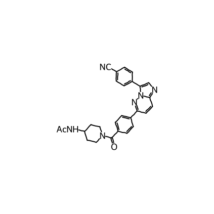 CC(=O)NC1CCN(C(=O)c2ccc(-c3ccc4ncc(-c5ccc(C#N)cc5)n4n3)cc2)CC1